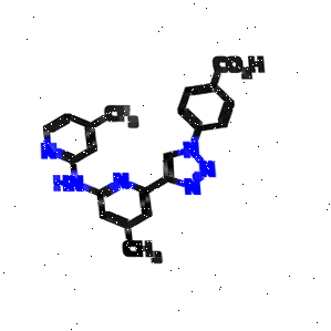 Cc1cc(Nc2cc(C(F)(F)F)ccn2)nc(-c2cn(-c3ccc(C(=O)O)cc3)nn2)c1